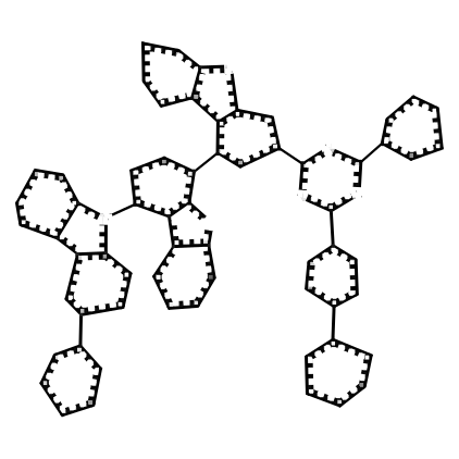 c1ccc(-c2ccc(-c3nc(-c4ccccc4)nc(-c4cc(-c5ccc(-n6c7ccccc7c7cc(-c8ccccc8)ccc76)c6c5oc5ccccc56)c5c(c4)oc4ccccc45)n3)cc2)cc1